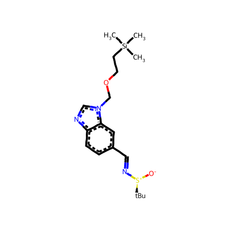 CC(C)(C)[S@+]([O-])/N=C/c1ccc2ncn(COCC[Si](C)(C)C)c2c1